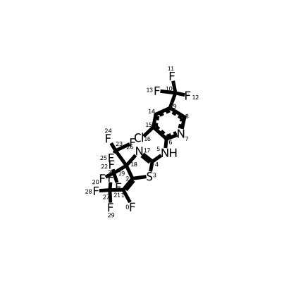 FC(=C1SC(Nc2ncc(C(F)(F)F)cc2Cl)=NC1(C(F)(F)F)C(F)(F)F)C(F)(F)F